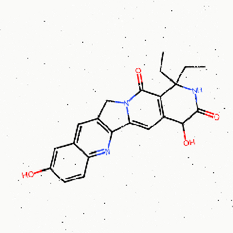 CCC1(CC)NC(=O)C(O)c2cc3n(c(=O)c21)Cc1cc2cc(O)ccc2nc1-3